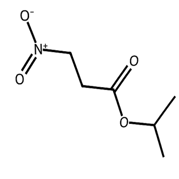 CC(C)OC(=O)CC[N+](=O)[O-]